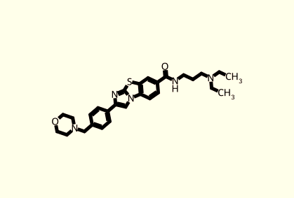 CCN(CC)CCCNC(=O)c1ccc2c(c1)sc1nc(-c3ccc(CN4CCOCC4)cc3)cn12